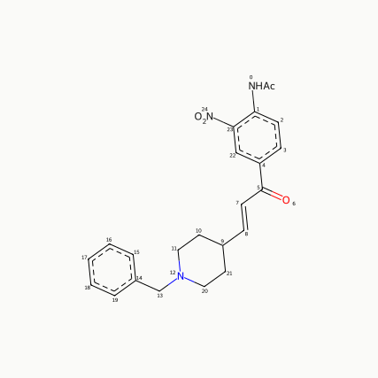 CC(=O)Nc1ccc(C(=O)/C=C/C2CCN(Cc3ccccc3)CC2)cc1[N+](=O)[O-]